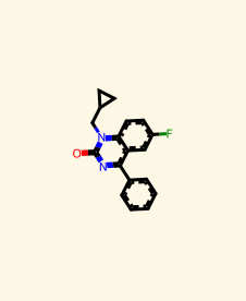 O=c1nc(-c2ccccc2)c2cc(F)ccc2n1CC1CC1